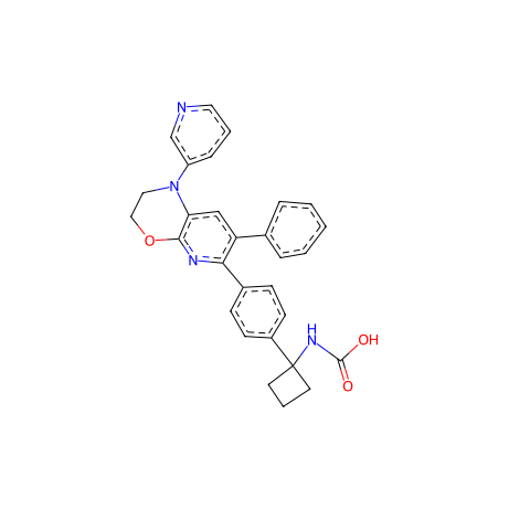 O=C(O)NC1(c2ccc(-c3nc4c(cc3-c3ccccc3)N(c3cccnc3)CCO4)cc2)CCC1